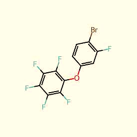 Fc1cc(Oc2c(F)c(F)c(F)c(F)c2F)ccc1Br